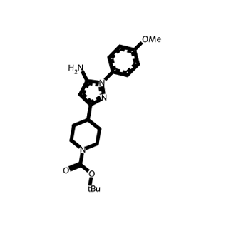 COc1ccc(-n2nc(C3CCN(C(=O)OC(C)(C)C)CC3)cc2N)cc1